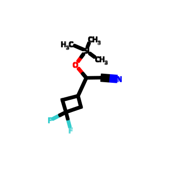 C[Si](C)(C)OC(C#N)C1CC(F)(F)C1